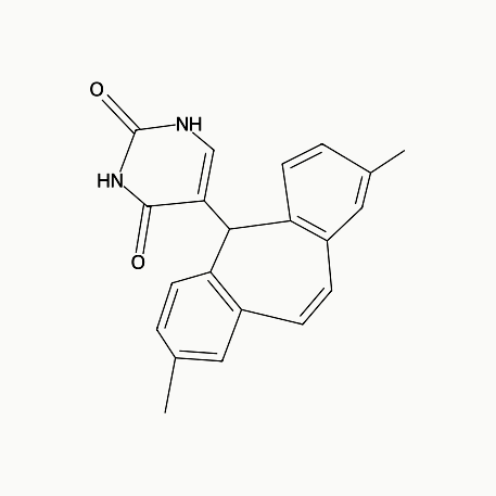 Cc1ccc2c(c1)C=Cc1cc(C)ccc1C2c1c[nH]c(=O)[nH]c1=O